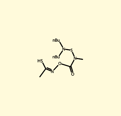 CCCCN(CCCC)SN(C)C(=O)ON=C(C)S